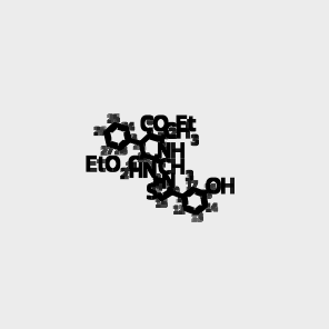 CCOC(=O)C1=C(C)NC(C)(Nc2nc(-c3cccc(O)c3)cs2)C(C(=O)OCC)C1c1ccccc1